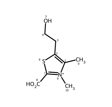 Cc1c(CCO)sc(C(=O)O)[n+]1C